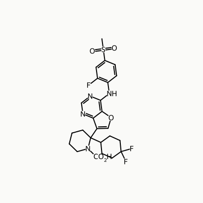 CS(=O)(=O)c1ccc(Nc2ncnc3c(C4(C5CCC(F)(F)CC5)CCCCN4C(=O)O)coc23)c(F)c1